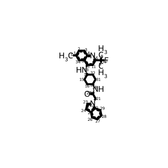 Cc1ccc2nc(C(C)(C)F)cc(NC3CCC(NC(=O)Cn4ccc5ccccc54)CC3)c2c1